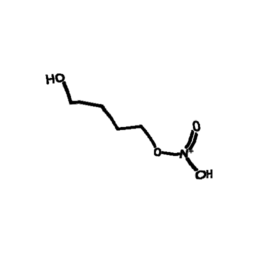 O=[N+](O)OCCCCO